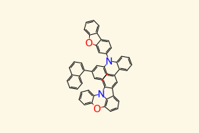 c1cc(-c2cccc3ccccc23)cc(N(c2ccc3c(c2)oc2ccccc23)c2ccccc2-c2ccc3c(c2)c2cccc4c2n3-c2ccccc2O4)c1